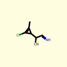 CC1=C(Cl)C1C(C#N)C=N